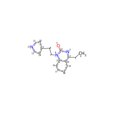 CCc1nc(=O)n(CCc2ccncc2)c2ccccc12